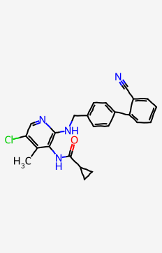 Cc1c(Cl)cnc(NCc2ccc(-c3ccccc3C#N)cc2)c1NC(=O)C1CC1